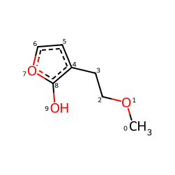 COCCc1ccoc1O